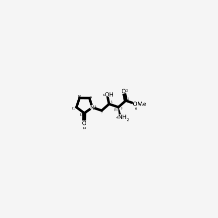 COC(=O)[C@@H](N)C(O)CN1CCCC1=O